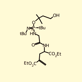 C=C(CC(NC(=O)CN[P@](=NC(C)(C)C)(OC(C)(C)CCO)C(C)(C)C)C(=O)OCC)C(=O)OCC